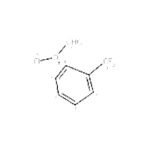 FC(F)(F)c1ccccc1.O=COCl